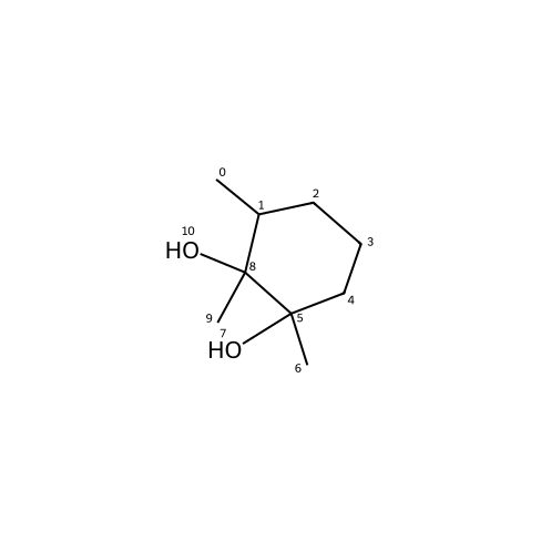 CC1CCCC(C)(O)C1(C)O